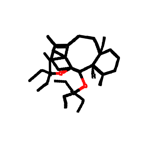 CC[Si](CC)(CC)OC1[C@@H]2[C@H](C)CCC[C@@]2(C)CCC2=C(C)CC[C@]1(O[Si](CC)(CC)CC)C2(C)C